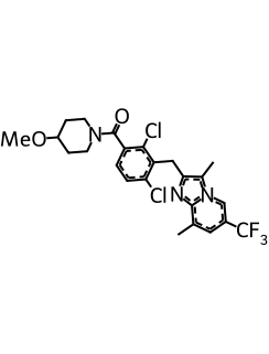 COC1CCN(C(=O)c2ccc(Cl)c(Cc3nc4c(C)cc(C(F)(F)F)cn4c3C)c2Cl)CC1